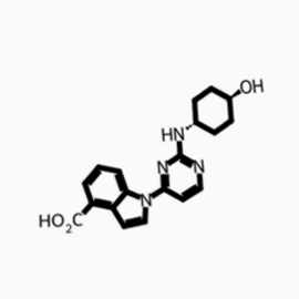 O=C(O)c1cccc2c1ccn2-c1ccnc(N[C@H]2CC[C@H](O)CC2)n1